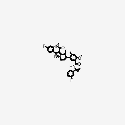 CNC(=O)c1c(-c2ccc(F)cc2)nn2ccc(-c3cc(C(=O)NC4(c5cccc(F)c5)CC4)c(OC)cc3C)c(F)c12